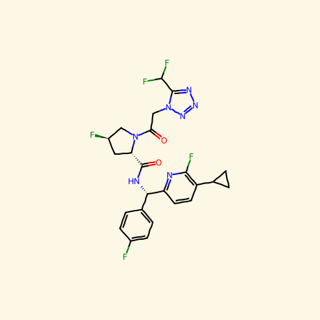 O=C(N[C@@H](c1ccc(F)cc1)c1ccc(C2CC2)c(F)n1)[C@@H]1C[C@@H](F)CN1C(=O)Cn1nnnc1C(F)F